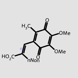 CCCCCCCCC/C(=C\C1=C(C)C(=O)C(OC)=C(OC)C1=O)C(=O)O